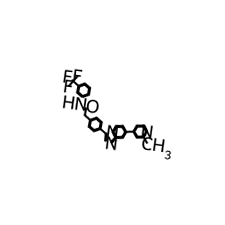 Cc1cc(-c2ccn3c(-c4ccc(CC(=O)Nc5cccc(C(F)(F)F)c5)cc4)cnc3c2)ccn1